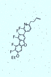 C=CCCc1ccc(-c2cc3oc4cc(OCC)c(F)c(F)c4c3c(F)c2F)c(F)n1